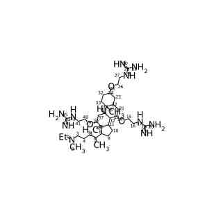 CCN(C)CCCC(C)C1CCC2C3[C@H](OCCNC(=N)N)CC4C[C@H](OCCNC(=N)N)CCC4(C)[C@H]3C[C@H](OCCNC(=N)N)[C@]12C